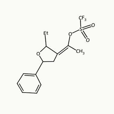 CCC1OC(c2ccccc2)CC1=C(C)OS(=O)(=O)C(F)(F)F